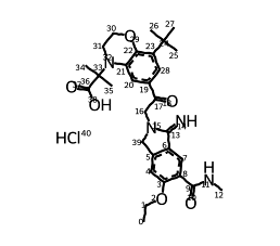 CCOc1cc2c(cc1C(=O)NC)C(=N)N(CC(=O)c1cc3c(c(C(C)(C)C)c1)OCCN3C(C)(C)C(=O)O)C2.Cl